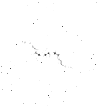 CC(=O)NCCNC(=O)C(F)(F)OC(F)(F)C(F)(F)OC(F)(F)C(=O)NCNC(C)=O